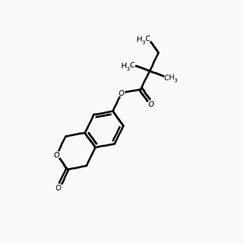 CCC(C)(C)C(=O)Oc1ccc2c(c1)COC(=O)C2